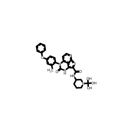 Cc1cc(Oc2ccccc2)ccc1N1C(=O)Nc2c(C(=O)NC3CCCN(C(O)(O)O)C3)sc3nccc1c23